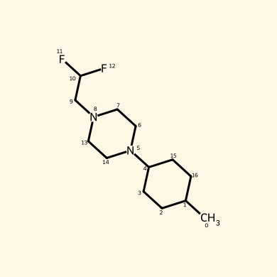 CC1CCC(N2CCN(CC(F)F)CC2)CC1